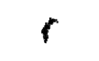 C/C=C/C1COC(c2cc(F)c(C(F)(F)Oc3cc(F)c(OCc4ccc(OC(F)(F)F)c(F)c4)c(F)c3)c(F)c2)OC1